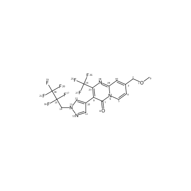 COCc1ccn2c(=O)c(-c3cnn(CC(F)(F)C(F)(F)F)c3)c(C(F)(F)F)nc2c1